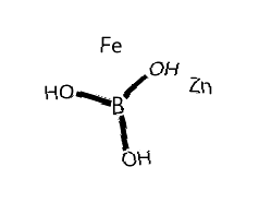 OB(O)O.[Fe].[Zn]